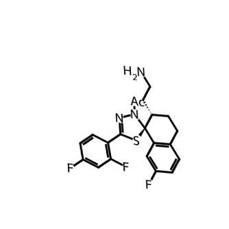 CC(=O)N1N=C(c2ccc(F)cc2F)S[C@@]12c1cc(F)ccc1CC[C@H]2CCN